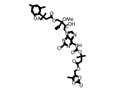 C#CC(COC(=O)CC(C)(C)c1c(C)cc(C)cc1OC(C)=O)(OC)[C@@H](O)Cn1cnc2c(NC(=O)OC(C)(C)CC(=O)OCc3oc(=O)oc3C)nc(Cl)nc21